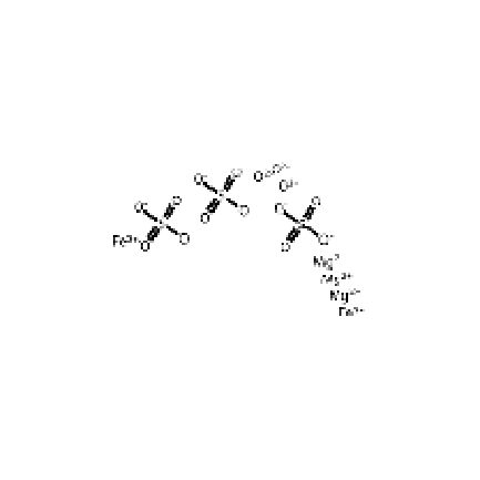 O=S(=O)([O-])[O-].O=S(=O)([O-])[O-].O=S(=O)([O-])[O-].[Fe+3].[Fe+3].[Mg+2].[Mg+2].[Mg+2].[O-2].[O-2].[O-2]